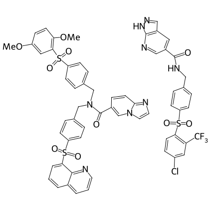 COc1ccc(OC)c(S(=O)(=O)c2ccc(CN(Cc3ccc(S(=O)(=O)c4cccc5cccnc45)cc3)C(=O)c3ccc4nccn4c3)cc2)c1.O=C(NCc1ccc(S(=O)(=O)c2ccc(Cl)cc2C(F)(F)F)cc1)c1cnc2[nH]ncc2c1